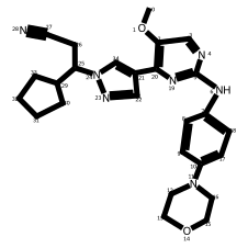 COc1cnc(Nc2ccc(N3CCOCC3)cc2)nc1-c1cnn(C(CC#N)C2CCCC2)c1